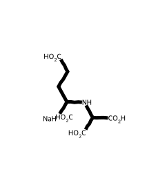 O=C(O)CCC(NC(C(=O)O)C(=O)O)C(=O)O.[NaH]